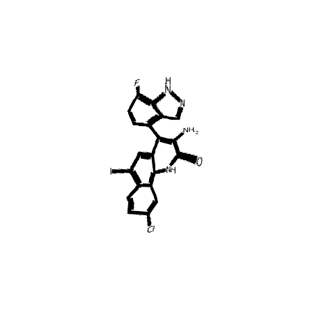 Nc1c(-c2ccc(F)c3[nH]ncc23)c2cc(I)c3ccc(Cl)cc3c2[nH]c1=O